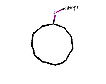 CCCCCCC[P]C1CCCCCCCCCC1